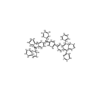 c1ccc(-c2c3ccccc3c(-c3ccccc3)c3cc(-c4ccc(N(c5ccccc5)c5ccc6c(c5)c5ccccc5n6-c5cccc6ccccc56)cc4)ccc23)cc1